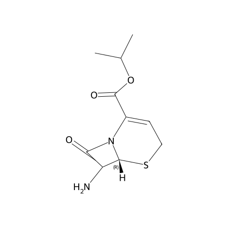 CC(C)OC(=O)C1=CCS[C@@H]2C(N)C(=O)N12